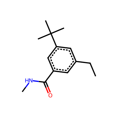 CCc1cc(C(=O)NC)cc(C(C)(C)C)c1